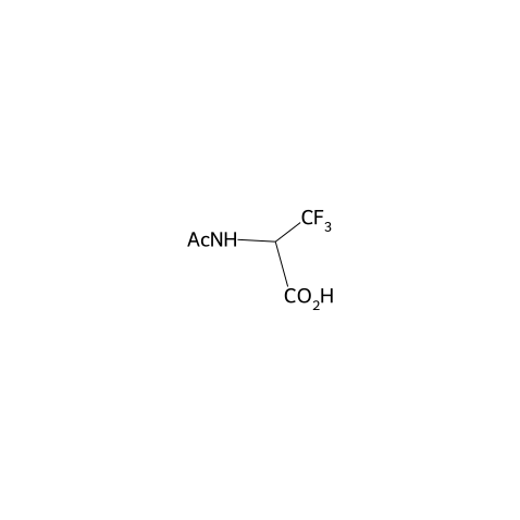 CC(=O)NC(C(=O)O)C(F)(F)F